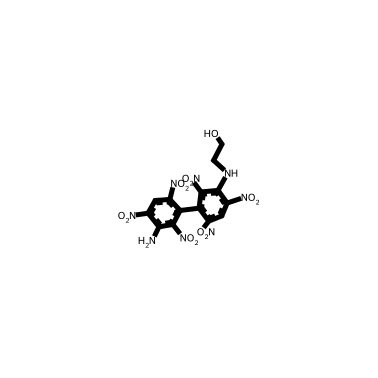 Nc1c([N+](=O)[O-])cc([N+](=O)[O-])c(-c2c([N+](=O)[O-])cc([N+](=O)[O-])c(NCCO)c2[N+](=O)[O-])c1[N+](=O)[O-]